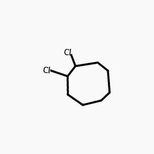 ClC1CCCCCCC1Cl